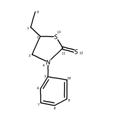 CCC1CN(c2ccccc2)C(=S)S1